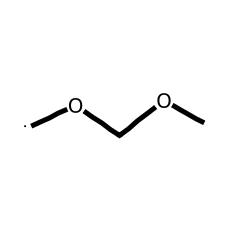 [CH2]OCOC